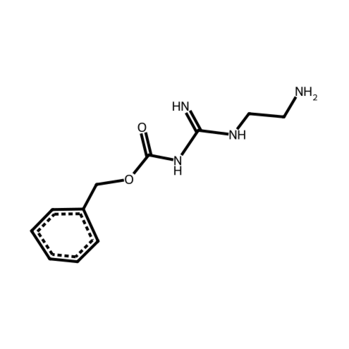 N=C(NCCN)NC(=O)OCc1ccccc1